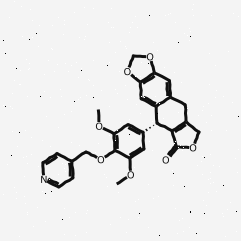 COc1cc([C@H]2C3=C(COC3=O)Cc3cc4c(cc32)OCO4)cc(OC)c1OCc1ccncc1